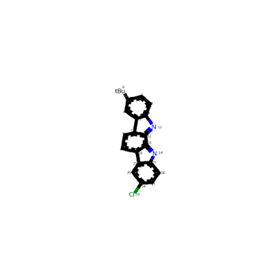 CC(C)(C)c1ccc2c(c1)-c1ccc3c(c1=N2)=Nc1ccc(Cl)cc1-3